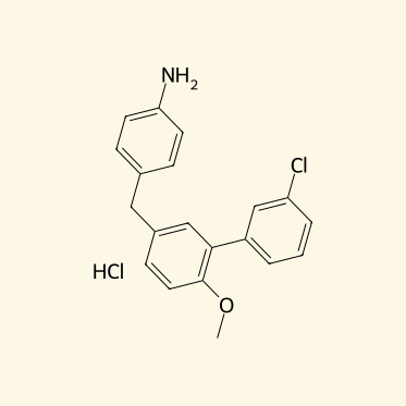 COc1ccc(Cc2ccc(N)cc2)cc1-c1cccc(Cl)c1.Cl